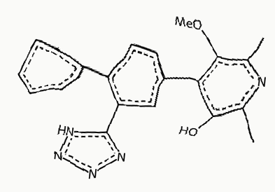 COc1c(C)nc(C)c(O)c1-c1ccc(-c2ccccc2)c(-c2nnn[nH]2)c1